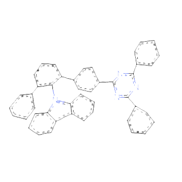 c1ccc(-c2nc(-c3ccccc3)nc(-c3ccc(-c4cccc(-c5ccccc5)c4-n4c5ccccc5c5ccccc54)cc3)n2)cc1